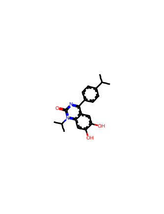 CC(C)c1ccc(-c2nc(=O)n(C(C)C)c3cc(O)c(O)cc23)cc1